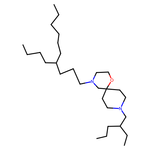 CCCCCCC(CCCC)CCCN1CCOC2(CCN(CC(CC)CCC)CC2)C1